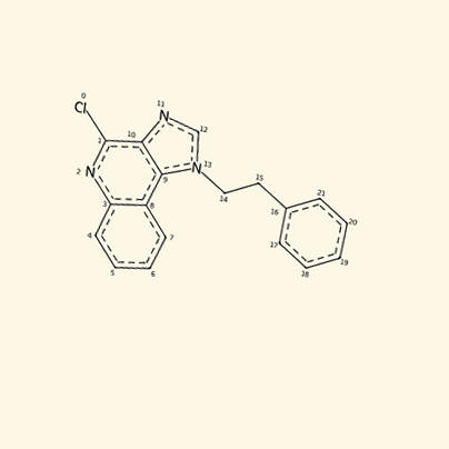 Clc1nc2ccccc2c2c1ncn2CCc1ccccc1